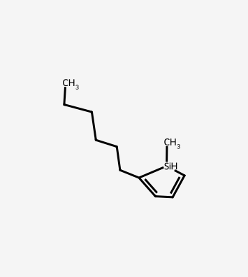 CCCCCCC1=CC=C[SiH]1C